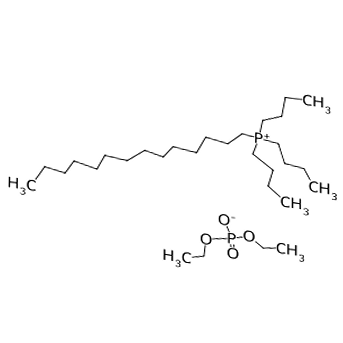 CCCCCCCCCCCCCC[P+](CCCC)(CCCC)CCCC.CCOP(=O)([O-])OCC